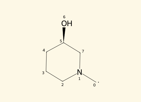 [CH2]N1CCC[C@@H](O)C1